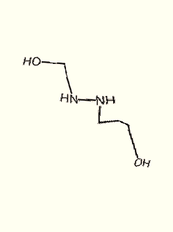 OCCNNCO